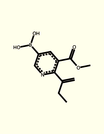 C=C(CC)c1ncc(B(O)O)cc1C(=O)OC